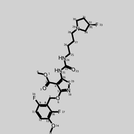 COC(=O)c1c(OCc2c(F)ccc(OC)c2F)nsc1NC(=O)NCCCCN1CC[C@@H](F)C1